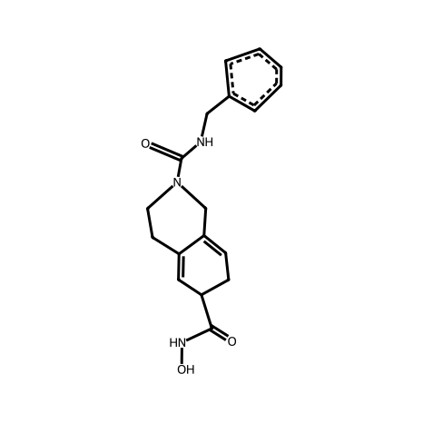 O=C(NO)C1C=C2CCN(C(=O)NCc3ccccc3)CC2=CC1